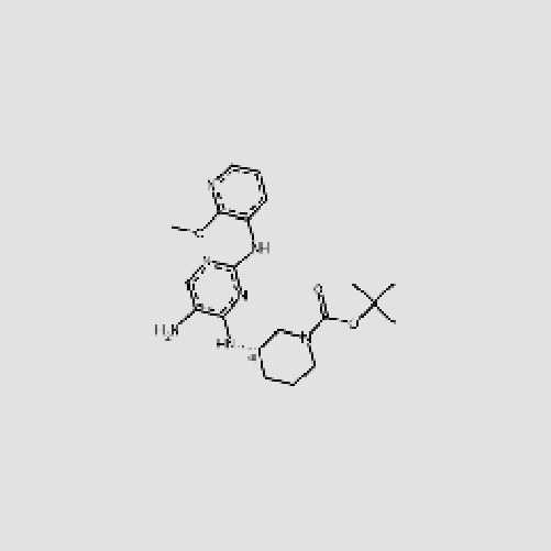 COc1ncccc1Nc1ncc(N)c(N[C@H]2CCCN(C(=O)OC(C)(C)C)C2)n1